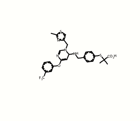 Cc1nc(CN2C=NC(Oc3cccc(C(F)(F)F)c3)=CC2NCc2ccc(SC(C)(C)C(=O)O)cc2)cs1